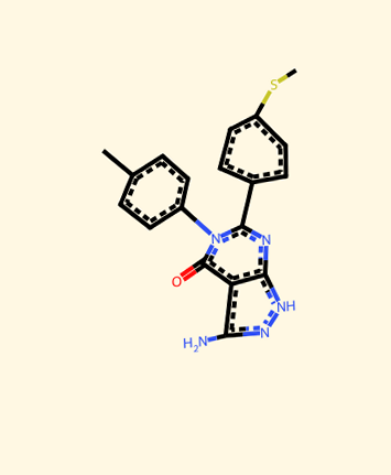 CSc1ccc(-c2nc3[nH]nc(N)c3c(=O)n2-c2ccc(C)cc2)cc1